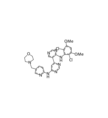 COc1cc(OC)c(Cl)c(Nc2ncncc2-c2cc(Nc3ccc(CN4CCOCC4)cn3)ncn2)c1Cl